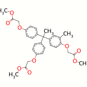 COC(=O)COc1ccc(C(C)(c2ccc(OCC(=O)OC)cc2)c2ccc(OCC(=O)OC)c(C)c2)cc1